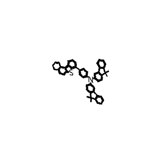 CC1(C)c2ccccc2-c2cc(N(c3ccc(-c4cccc5c4sc4ccc6c(c45)C=CCC6)cc3)c3ccc4c(c3)-c3ccccc3C4(C)C)ccc21